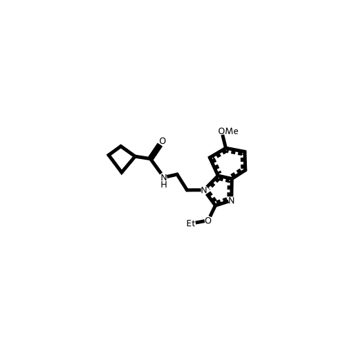 CCOc1nc2ccc(OC)cc2n1CCNC(=O)C1CCC1